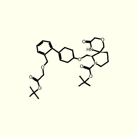 CC(C)(C)OC(=O)COCc1ccccc1C1=CCC(OC[C@@H]2N(C(=O)OC(C)(C)C)CCC[C@@]23COCC(=O)N3)CC1